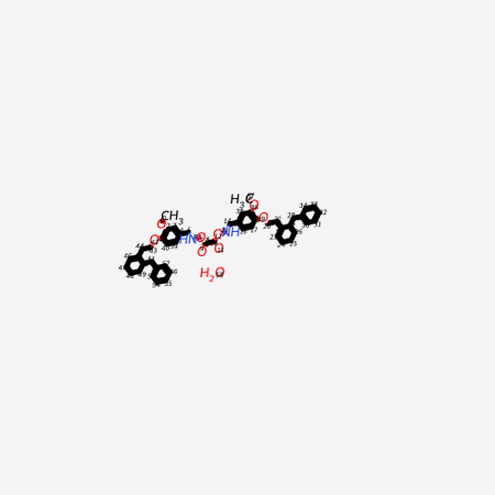 COc1cc(CNOC(=O)C(=O)ONCc2ccc(OCCC3=CCCCC3Cc3ccccc3)c(OC)c2)ccc1OCCC1=CCCCC1Cc1ccccc1.O